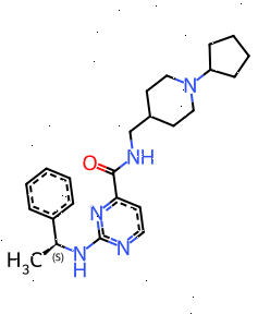 C[C@H](Nc1nccc(C(=O)NCC2CCN(C3CCCC3)CC2)n1)c1ccccc1